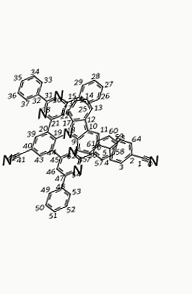 N#Cc1ccc(-c2ccc3c(c2)c2ccccc2n3-c2c(-c3cc(-c4ccccc4)nc(-c4ccccc4)n3)cc(C#N)cc2-c2cc(-c3ccccc3)nc(-c3ccccc3)n2)cc1